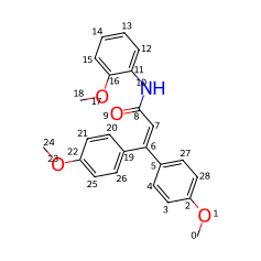 COc1ccc(C(=CC(=O)Nc2ccccc2OC)c2ccc(OC)cc2)cc1